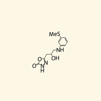 CSc1cccc(NCC(O)Cc2n[nH]c(=O)o2)c1